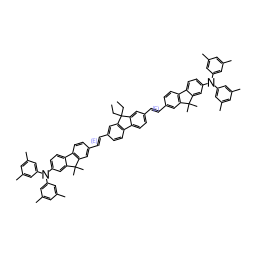 CCC1(CC)c2cc(/C=C/c3ccc4c(c3)C(C)(C)c3cc(N(c5cc(C)cc(C)c5)c5cc(C)cc(C)c5)ccc3-4)ccc2-c2ccc(/C=C/c3ccc4c(c3)C(C)(C)c3cc(N(c5cc(C)cc(C)c5)c5cc(C)cc(C)c5)ccc3-4)cc21